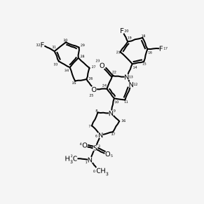 CN(C)S(=O)(=O)N1CCN(c2cnn(-c3cc(F)cc(F)c3)c(=O)c2OC2Cc3ccc(F)cc3C2)CC1